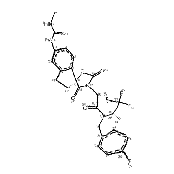 CNC(=O)Nc1ccc2c(c1)CC[C@@]21OC(=O)N(CC(=O)N(Cc2ccc(F)cc2)[C@@H](C)C(F)(F)F)C1=O